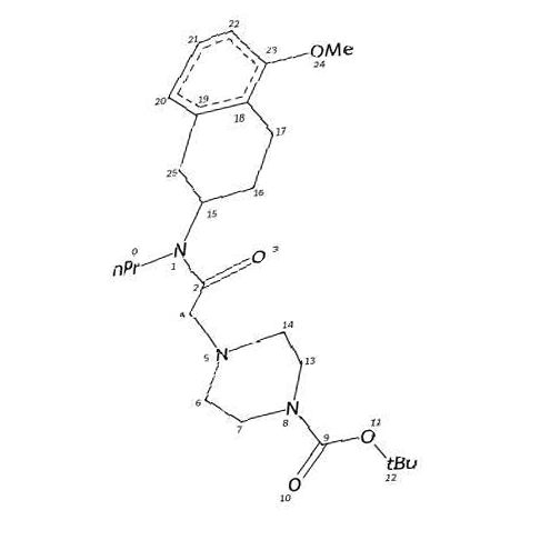 CCCN(C(=O)CN1CCN(C(=O)OC(C)(C)C)CC1)C1CCc2c(cccc2OC)C1